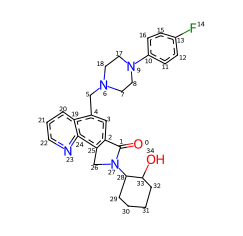 O=C1c2cc(CN3CCN(c4ccc(F)cc4)CC3)c3cccnc3c2CN1C1CCCCC1O